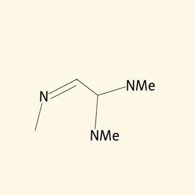 C/N=C\C(NC)NC